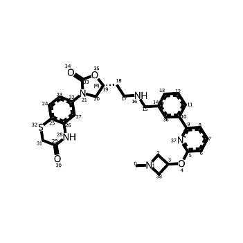 CN1CC(Oc2cccc(-c3cccc(CNCC[C@@H]4CN(c5ccc6c(c5)NC(=O)CS6)C(=O)O4)c3)n2)C1